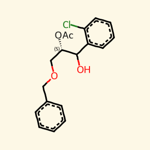 CC(=O)O[C@@H](COCc1ccccc1)C(O)c1ccccc1Cl